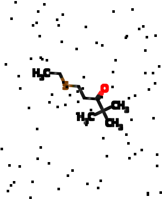 CCSCCC(=O)C(C)(C)C